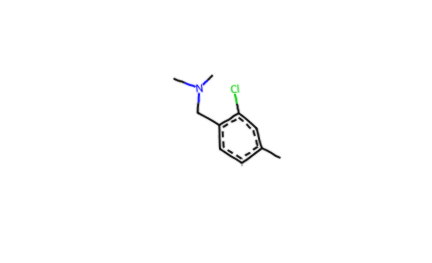 Cc1[c]cc(CN(C)C)c(Cl)c1